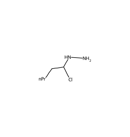 CCCCC(Cl)NN